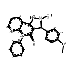 COc1ccc(C2c3c(c4cccnc4n(-c4ccccc4)c3=O)NN2O)cc1